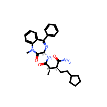 C[C@@H](C(=O)N[C@H]1N=C(c2ccccc2)c2ccccc2N(C)C1=O)[C@H](CCC1CCCC1)C(N)=O